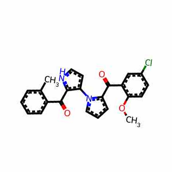 COc1ccc(Cl)cc1C(=O)c1cccn1-c1cc[nH]c1C(=O)c1ccccc1C